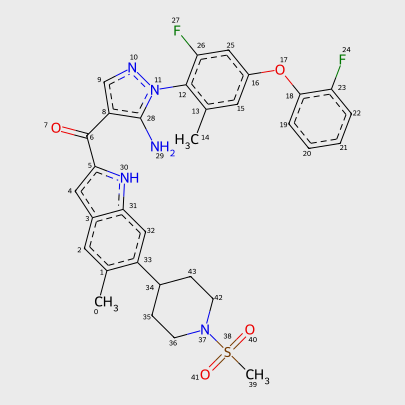 Cc1cc2cc(C(=O)c3cnn(-c4c(C)cc(Oc5ccccc5F)cc4F)c3N)[nH]c2cc1C1CCN(S(C)(=O)=O)CC1